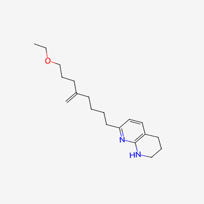 C=C(CCCCc1ccc2c(n1)NCCC2)CCCOCC